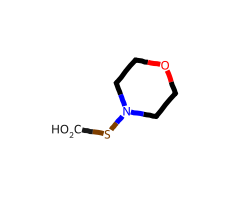 O=C(O)SN1CCOCC1